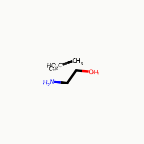 CC(=O)O.NCCO.[Cu]